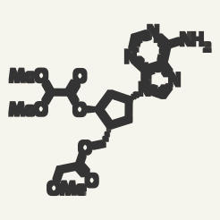 COCC(=O)OC[C@H]1C[C@@H](n2cnc3c(N)ncnc32)C[C@@H]1OC(=O)C(OC)OC